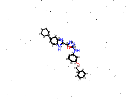 [CH]1CCC(c2ccc3[nH]c(-c4nnc(Nc5cccc(OCc6ccccc6)c5)o4)nc3c2)CC1